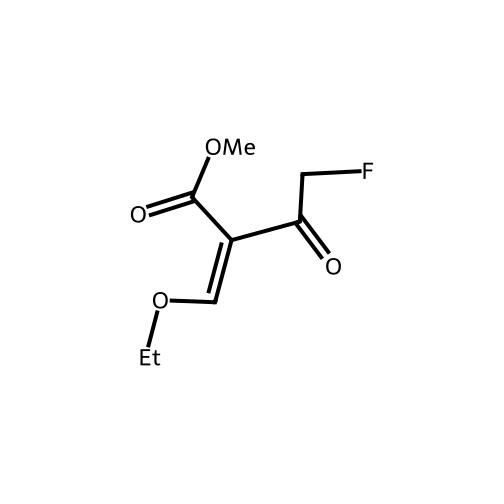 CCOC=C(C(=O)CF)C(=O)OC